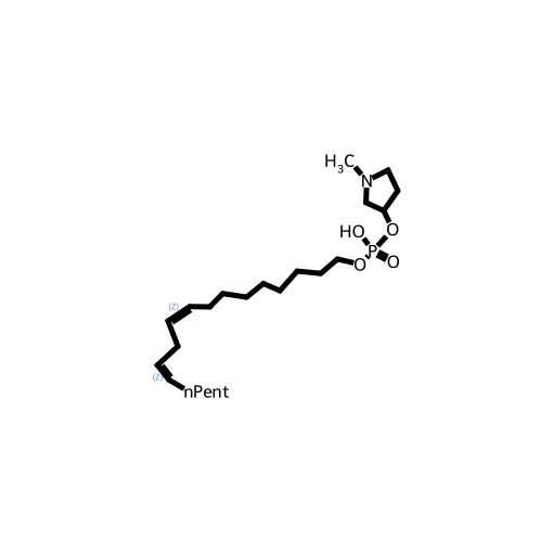 CCCCC/C=C\C/C=C\CCCCCCCCOP(=O)(O)OC1CCN(C)C1